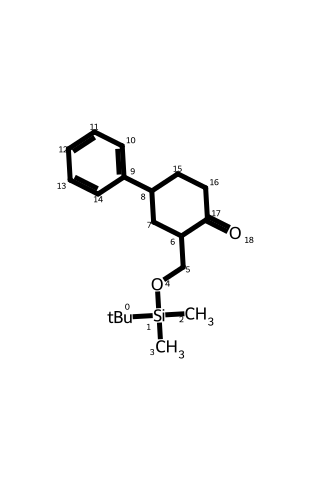 CC(C)(C)[Si](C)(C)OCC1CC(c2ccccc2)CCC1=O